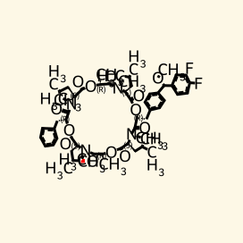 COC(c1ccc(C[C@H]2OC(=O)[C@H](CC(C)C)N(C)C(=O)[C@@H](C)OC(=O)[C@H](CC(C)C)N(C)C(=O)[C@@H](Cc3ccccc3)OC(=O)[C@H](CC(C)C)N(C)C(=O)[C@@H](C)OC(=O)[C@H](CC(C)C)N(C)C2=O)cc1)c1ccc(F)c(F)c1